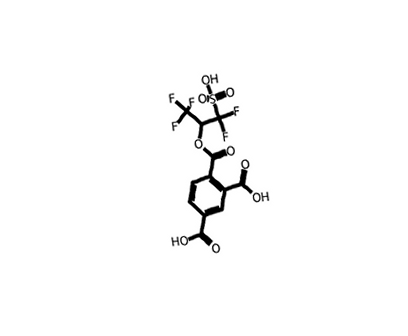 O=C(O)c1ccc(C(=O)OC(C(F)(F)F)C(F)(F)S(=O)(=O)O)c(C(=O)O)c1